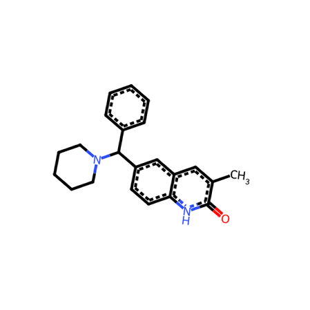 Cc1cc2cc(C(c3ccccc3)N3CCCCC3)ccc2[nH]c1=O